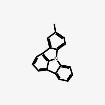 Cc1ccc2c(c1)c1cccc3c4ccccc4n2c31